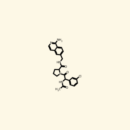 CC(=O)NC(C(=O)N1CCCC1C(=O)NCc1ccc2c(N)nccc2c1)c1cccc(Cl)c1